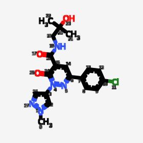 Cn1cc(-n2nc(-c3ccc(Cl)cc3)cc(C(=O)NCC(C)(C)O)c2=O)cn1